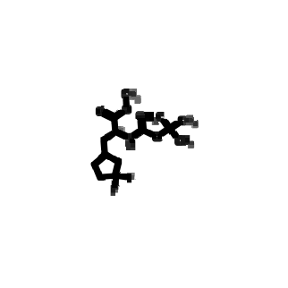 COC(=O)[C@H](CC1CCC(F)(F)C1)NC(=O)OC(C)(C)C